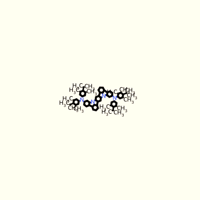 Cc1cc(N(c2cc(C)c(C(C)C)c(C)c2)c2ccc3c4cccc5c6cc7c(cc6n(c3c2)c45)c2cccc3c4ccc(N(c5cc(C)c(C(C)C)c(C)c5)c5cc(C)c(C(C)C)c(C)c5C)cc4n7c32)cc(C)c1C(C)C